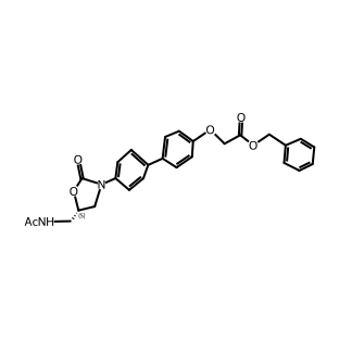 CC(=O)NC[C@H]1CN(c2ccc(-c3ccc(OCC(=O)OCc4ccccc4)cc3)cc2)C(=O)O1